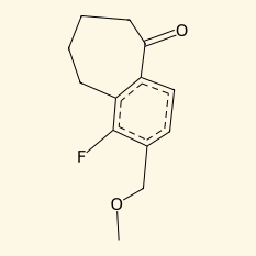 COCc1ccc2c(c1F)CCCCC2=O